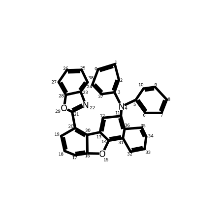 c1ccc(N(c2ccccc2)c2cc3c(oc4cccc(-c5nc6ccccc6o5)c43)c3ccccc23)cc1